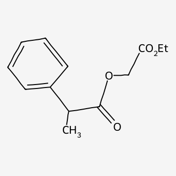 CCOC(=O)COC(=O)C(C)c1ccccc1